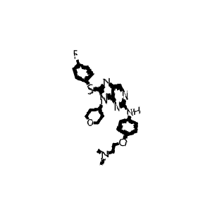 CN(C)CCOc1ccc(Nc2ncc3nc(Sc4ccc(F)cc4)n(C4CCOCC4)c3n2)cc1